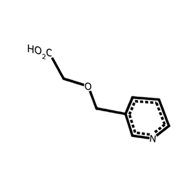 O=C(O)COCc1cccnc1